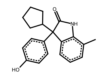 Cc1cccc2c1NC(=O)C2(c1ccc(O)cc1)C1CCCC1